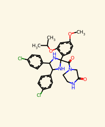 COc1ccc(C2(C(=O)N3CCNC(=O)C3)NC(c3ccc(Cl)cc3)C(c3ccc(Cl)cc3)N2)c(OC(C)C)c1